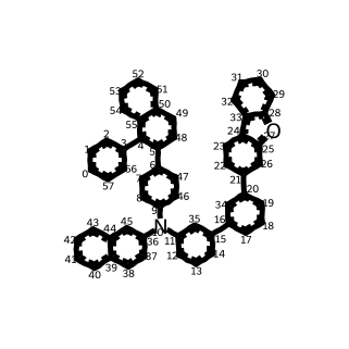 c1ccc(-c2c(-c3ccc(N(c4cccc(-c5cccc(-c6ccc7c(c6)oc6ccccc67)c5)c4)c4ccc5ccccc5c4)cc3)ccc3ccccc23)cc1